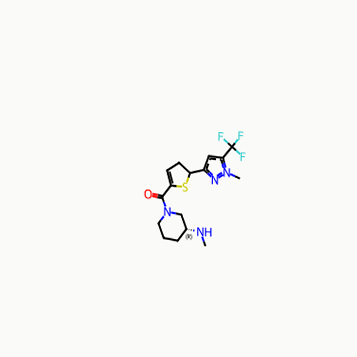 CN[C@@H]1CCCN(C(=O)C2=CCC(c3cc(C(F)(F)F)n(C)n3)S2)C1